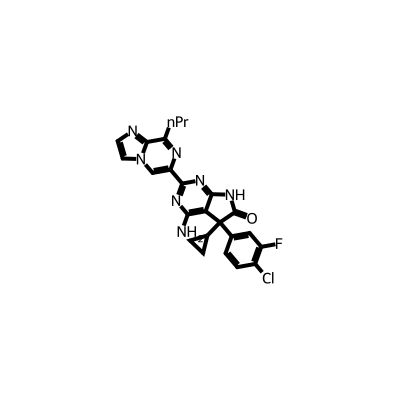 CCCc1nc(-c2nc(N)c3c(n2)NC(=O)C3(c2ccc(Cl)c(F)c2)C2CC2)cn2ccnc12